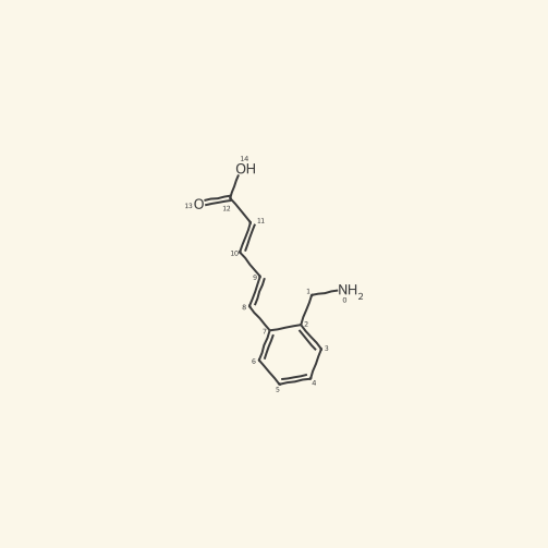 NCc1ccccc1C=CC=CC(=O)O